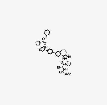 CC[C@H](NC(=O)OC)C(=O)N1CCC[C@H]1c1nc2c([nH]1)CCCc1cc(-c3ccc(-c4cnc([C@@H]5CCCN5C(=O)OCC5C=CC=CC5)[nH]4)cc3)ccc1-2